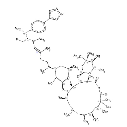 CC[C@H]1OC(=O)[C@H](C)[C@@H](O[C@H]2C[C@@](C)(OC)[C@@H](O)[C@H](C)O2)[C@H](I)[C@@H](O[C@@H]2O[C@H](C)C[C@H](N(C)CC/C(N)=C/N(N)[C@H](CF)[C@H](OC)c3ccc(-c4cn[nH]c4)cc3)C2O)[C@H](O)C[C@@H](C)CN(C)[C@H](C)[C@@H](O)[C@]1(C)O